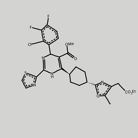 CCOC(=O)Cc1nc([C@H]2CC[C@H](C3=C(C(=O)OC)C(c4ccc(F)c(F)c4Cl)N=C(c4nccs4)N3)CC2)oc1C